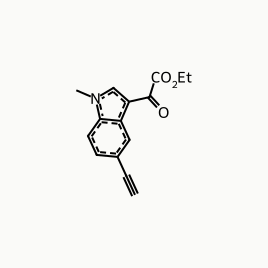 C#Cc1ccc2c(c1)c(C(=O)C(=O)OCC)cn2C